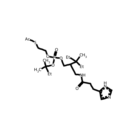 CCC(C)(C)OP(=O)(OCCSC(C)=O)OCC(CNC(=O)CCc1cnc[nH]1)C(C)(CC)CC